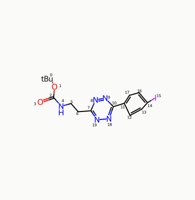 CC(C)(C)OC(=O)NCCc1nnc(-c2ccc(I)cc2)nn1